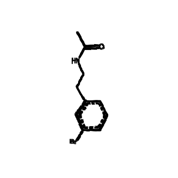 CC(=O)NCCc1cccc(Br)c1